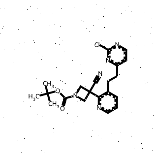 CC(C)(C)OC(=O)N1CC(C#N)(c2ncccc2CCc2ccnc(Cl)n2)C1